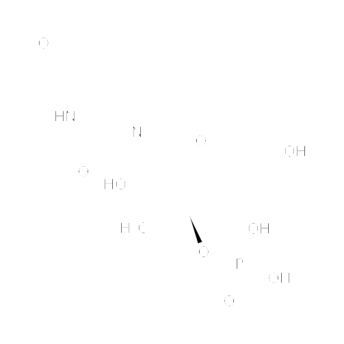 C[C@@]1(O)[C@H](OP(=O)(O)O)[C@@H](CO)O[C@H]1n1ccc(=O)[nH]c1=O